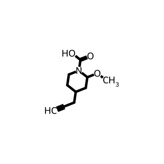 C#CCC1CCN(C(=O)O)C(OC)C1